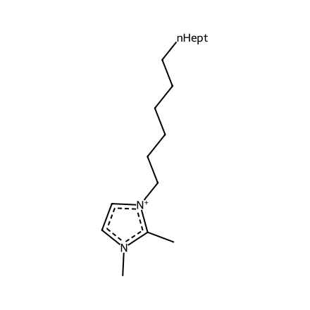 CCCCCCCCCCCCC[n+]1ccn(C)c1C